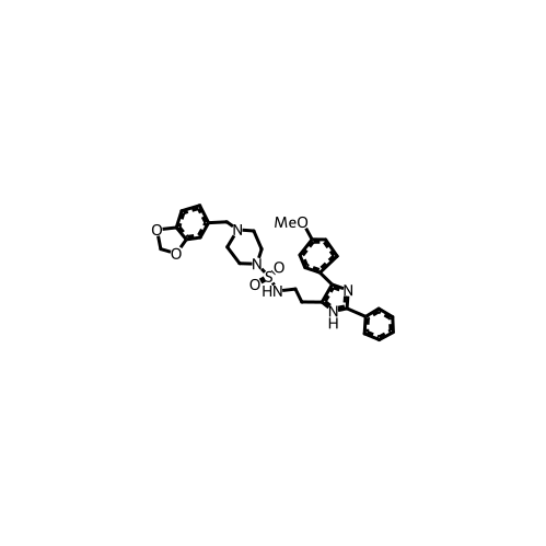 COc1ccc(-c2nc(-c3ccccc3)[nH]c2CCNS(=O)(=O)N2CCN(Cc3ccc4c(c3)OCO4)CC2)cc1